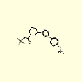 CC(C)(C)OC(=O)N1CCCC(c2ccn(-c3ccc(CN)cc3)n2)C1